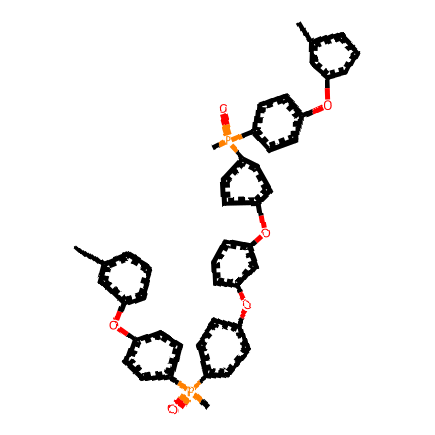 Cc1cccc(Oc2ccc(P(C)(=O)c3ccc(Oc4cccc(Oc5ccc(P(C)(=O)c6ccc(Oc7cccc(C)c7)cc6)cc5)c4)cc3)cc2)c1